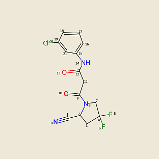 N#CC1CC(F)(F)CN1C(=O)CC(=O)Nc1cccc(Cl)c1